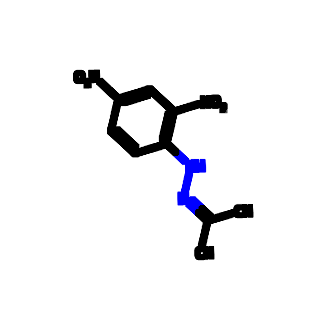 N#CC(C#N)=NNc1ccc([N+](=O)[O-])cc1[N+](=O)[O-]